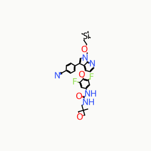 CC1(CNC(=O)Nc2cc(F)c(Oc3ccnc4c3c(-c3ccc(C#N)cc3)cn4COCC[Si](C)(C)C)c(F)c2)COC1